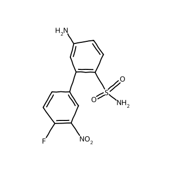 Nc1ccc(S(N)(=O)=O)c(-c2ccc(F)c([N+](=O)[O-])c2)c1